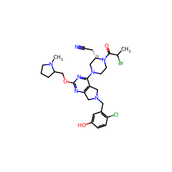 CC(Br)C(=O)N1CCN(c2nc(OCC3CCCN3C)nc3c2CN(Cc2cc(O)ccc2Cl)C3)C[C@@H]1CC#N